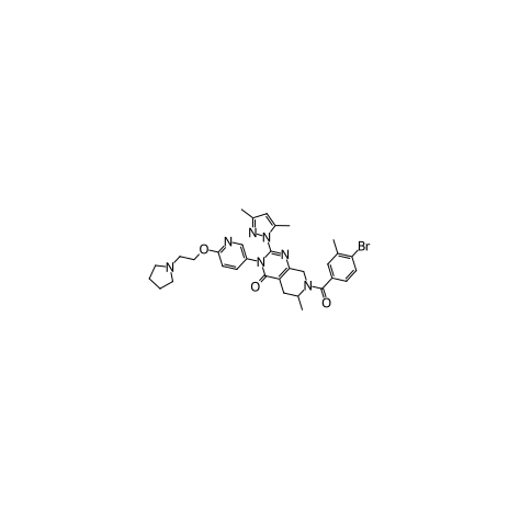 Cc1cc(C)n(-c2nc3c(c(=O)n2-c2ccc(OCCN4CCCC4)nc2)CC(C)N(C(=O)c2ccc(Br)c(C)c2)C3)n1